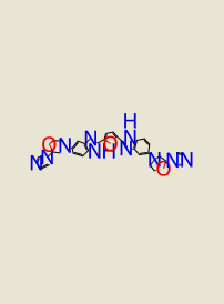 c1cn(C2CN(c3ccc4[nH]c(-c5ccc(-c6nc7cc(N8CCOC(n9ccnc9)C8)ccc7[nH]6)o5)nc4c3)CCO2)cn1